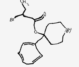 CC(Br)C(=O)OC1(c2ccccc2)CCNCC1